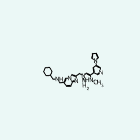 CN/C(=C\N(N)Cc1cn2cc(CNCC3CCCCC3)ccc2n1)c1cncc(-n2cccc2)c1